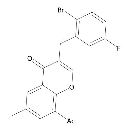 CC(=O)c1cc(C)cc2c(=O)c(Cc3cc(F)ccc3Br)coc12